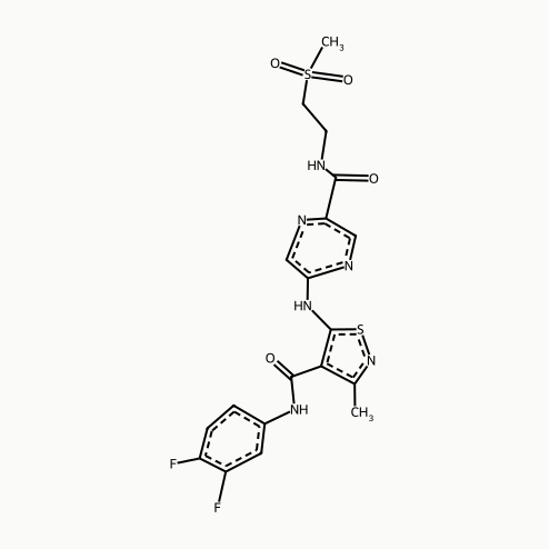 Cc1nsc(Nc2cnc(C(=O)NCCS(C)(=O)=O)cn2)c1C(=O)Nc1ccc(F)c(F)c1